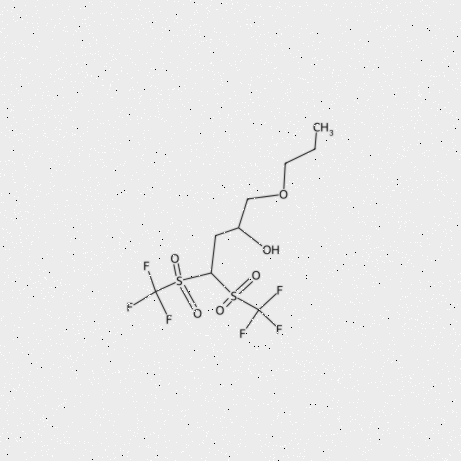 CCCOCC(O)CC(S(=O)(=O)C(F)(F)F)S(=O)(=O)C(F)(F)F